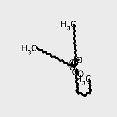 CCCCC/C=C\C/C=C\C/C=C\CCCCCCC(=O)OC[C@@H](COC(=O)CCCCCCCCCCCCCCC)OC(=O)CCCCCCCCCCCCCCCCC